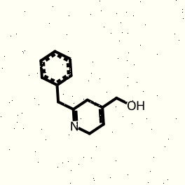 OCC1=CCN=C(Cc2ccccc2)C1